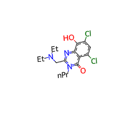 CCCn1c(CN(CC)CC)nc2c(O)c(Cl)cc(Cl)c2c1=O